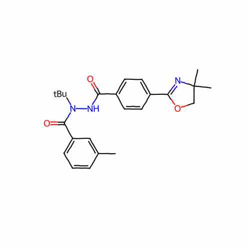 Cc1cccc(C(=O)N(NC(=O)c2ccc(C3=NC(C)(C)CO3)cc2)C(C)(C)C)c1